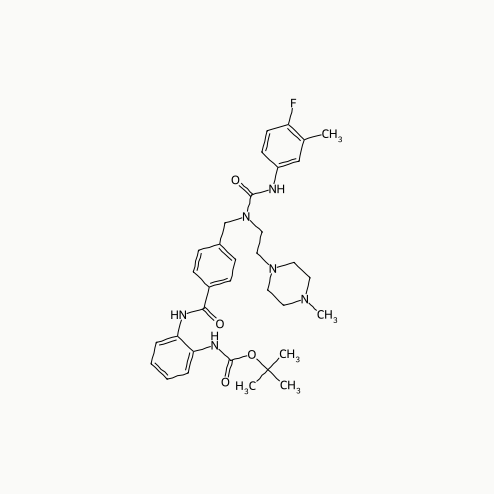 Cc1cc(NC(=O)N(CCN2CCN(C)CC2)Cc2ccc(C(=O)Nc3ccccc3NC(=O)OC(C)(C)C)cc2)ccc1F